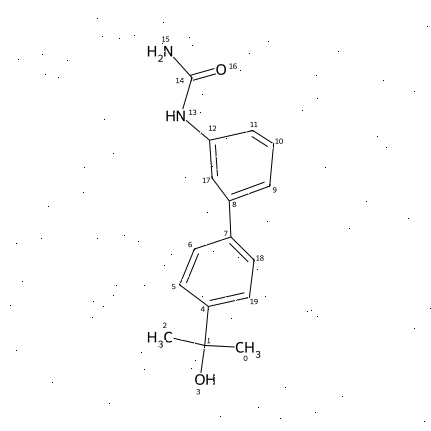 CC(C)(O)c1ccc(-c2cccc(NC(N)=O)c2)cc1